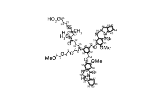 COCCOCCOCCN(CCCC(=O)N(C)CC(C)(C)SSCCCC(=O)O)c1cc(COc2cc3c(cc2OC)C(=O)N2c4ccccc4CC2C=N3)cc(COc2cc3c(cc2OC)C(=O)N2c4ccccc4C[C@H]2C=N3)c1